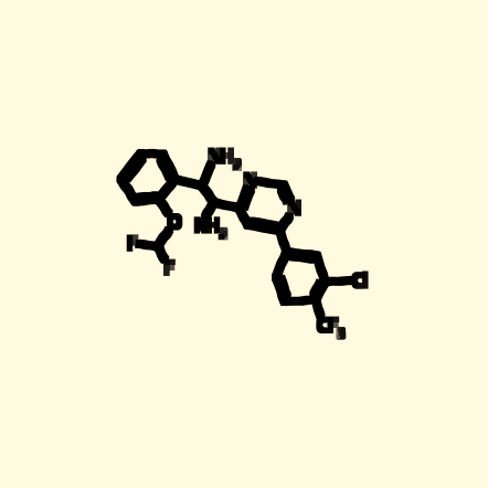 NC(c1cc(-c2ccc(C(F)(F)F)c(Cl)c2)ncn1)C(N)c1ccccc1OC(F)F